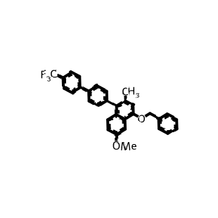 COc1ccc2c(-c3ccc(-c4ccc(C(F)(F)F)cc4)cc3)c(C)cc(OCc3ccccc3)c2c1